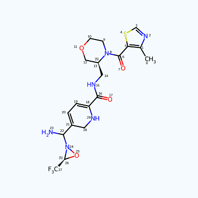 Cc1ncsc1C(=O)N1CCOC[C@@H]1CNC(=O)C1=CC=C(C(N)N2O[C@H]2C(F)(F)F)CN1